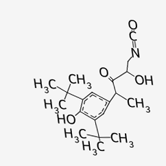 CC(C(=O)C(O)CN=C=O)c1cc(C(C)(C)C)c(O)c(C(C)(C)C)c1